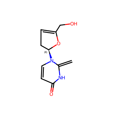 C=C1NC(=O)C=CN1[C@H]1CC=C(CO)O1